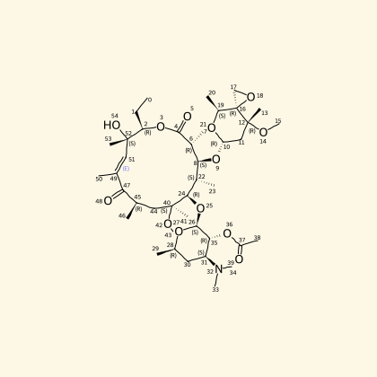 CC[C@H]1OC(=O)[C@H](C)[C@@H](O[C@H]2C[C@@](C)(OC)[C@@]3(CO3)[C@H](C)O2)[C@H](C)[C@@H](O[C@@H]2O[C@H](C)C[C@H](N(C)C)[C@H]2OC(C)=O)[C@@](C)(OC)C[C@@H](C)C(=O)/C(C)=C/[C@]1(C)O